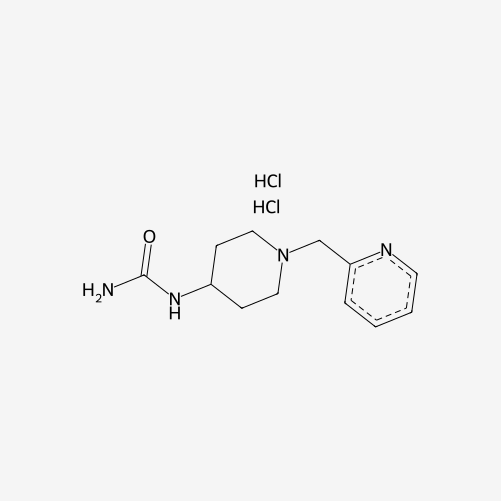 Cl.Cl.NC(=O)NC1CCN(Cc2ccccn2)CC1